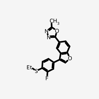 CCSc1ccc(-c2coc3ccc(-c4nnc(C)o4)cc23)cc1F